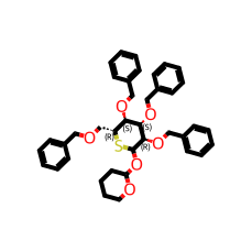 c1ccc(COC[C@H]2SC(OC3CCCCO3)[C@H](OCc3ccccc3)[C@@H](OCc3ccccc3)[C@@H]2OCc2ccccc2)cc1